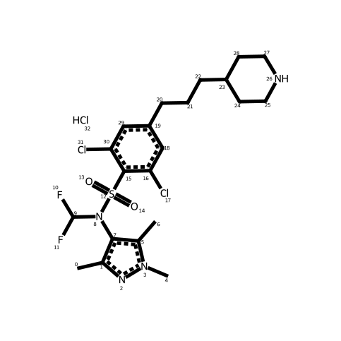 Cc1nn(C)c(C)c1N(C(F)F)S(=O)(=O)c1c(Cl)cc(CCCC2CCNCC2)cc1Cl.Cl